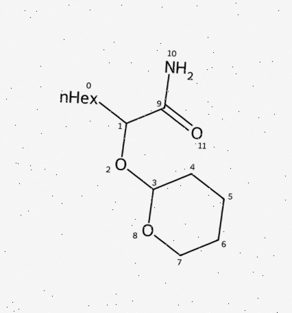 CCCCCCC(OC1CCCCO1)C(N)=O